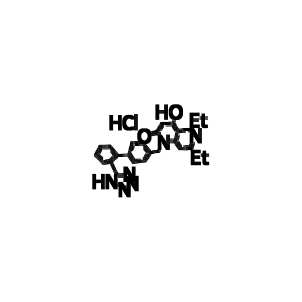 CCc1cc2c(c(O)cc(=O)n2Cc2ccc(-c3ccccc3-c3nnn[nH]3)cc2)c(CC)n1.Cl